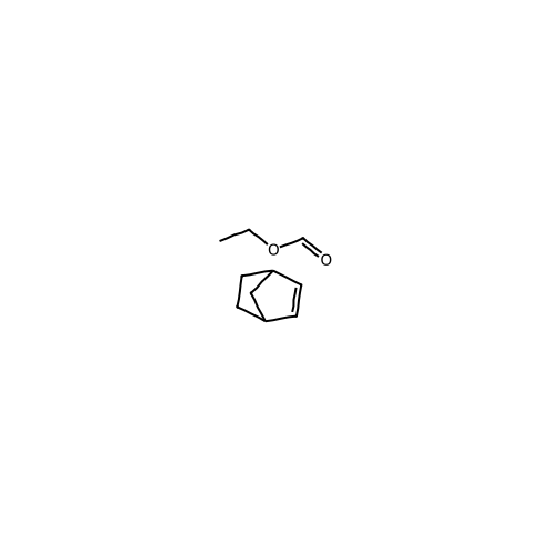 C1=CC2CCC1C2.CCOC=O